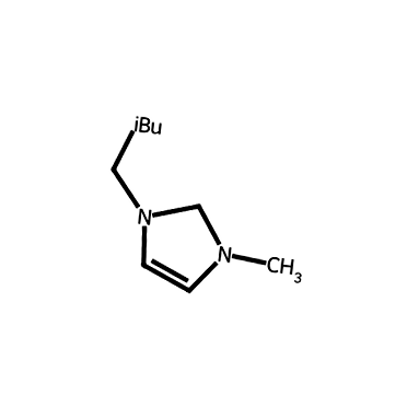 CCC(C)CN1C=CN(C)C1